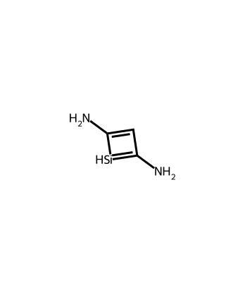 NC1=CC(N)=[SiH]1